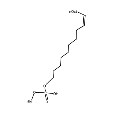 CCCCCCCC/C=C\CCCCCCCCOP(O)(=S)OC(C)CC